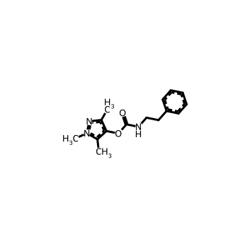 Cc1nn(C)c(C)c1OC(=O)NCCc1ccccc1